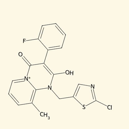 Cc1ccc[n+]2c(=O)c(-c3ccccc3F)c(O)n(Cc3cnc(Cl)s3)c12